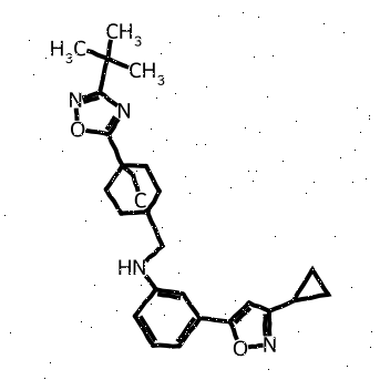 CC(C)(C)c1noc(C23CCC(CNc4cccc(-c5cc(C6CC6)no5)c4)(CC2)CC3)n1